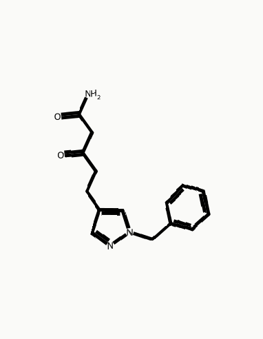 NC(=O)CC(=O)CCc1cnn(Cc2ccccc2)c1